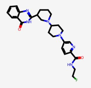 O=C(NCCF)c1ccc(N2CCC(N3CCCC(c4nc5ccccc5c(=O)[nH]4)C3)CC2)cn1